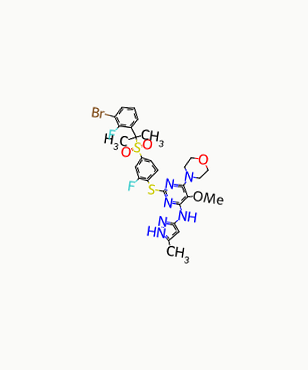 COc1c(Nc2cc(C)[nH]n2)nc(Sc2ccc(S(=O)(=O)C(C)(C)c3cccc(Br)c3F)cc2F)nc1N1CCOCC1